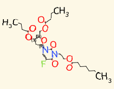 CCCCCCC(=O)OCCn1c(=O)c(F)cn([C@H]2C[C@H](OC(=O)CCC)[C@@H](COC(=O)CCC)O2)c1=O